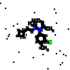 C/C=C(/C)N(c1ccc(C)c(Cl)c1)N(C)CCC1CCC1